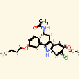 CCCCOc1cccc(-c2[nH]c3cc(Cl)c(OC)cc3c2CCNC(C)=O)c1